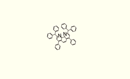 c1ccc(-c2cc(C(c3ccccc3)c3ccccc3)nc3c2ccc2c(-c4ccccc4)cc(C(c4ccccc4)c4ccccc4)nc23)cc1